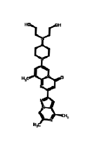 Cc1cn2nc(-c3cc(=O)n4cc(N5CCC(N(CCO)CCO)CC5)cc(C)c4n3)cc2c(C)n1